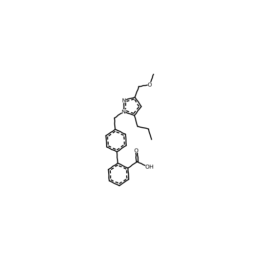 CCCc1cc(COC)nn1Cc1ccc(-c2ccccc2C(=O)O)cc1